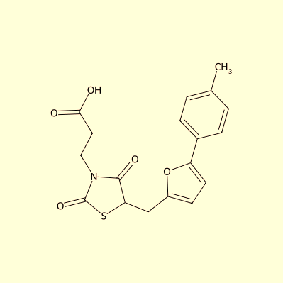 Cc1ccc(-c2ccc(CC3SC(=O)N(CCC(=O)O)C3=O)o2)cc1